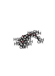 C=C1C[C@@]23CC[C@H]4[C@@](C)(CCC[C@@]4(C)C(=O)O[C@@H]4OC(COC(=O)CC(O)O)[C@@H](O)C(O)C4O)[C@@H]2CC[C@]1(O[C@@H]1OC(CO)[C@@H](O)C(O[C@@H]2OC(CO)[C@@H](O)C(O)C2O)C1O[C@@H]1OC[C@@H](O)C(O)C1O)C3